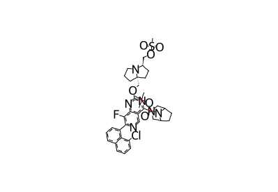 CC(C)(C)OC(=O)N1C2CCC1CN(c1nc(OC[C@]34CCCN3[C@@H](COS(C)(=O)=O)CC4)nc3c(F)c(-c4cccc5cccc(Cl)c45)ncc13)C2